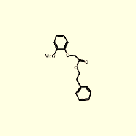 COc1ccccc1OCC(=O)OCCc1ccccc1